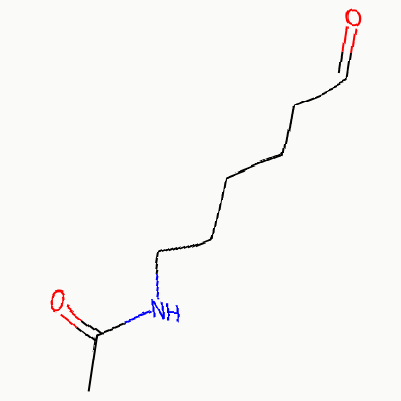 CC(=O)NCCCCCC=O